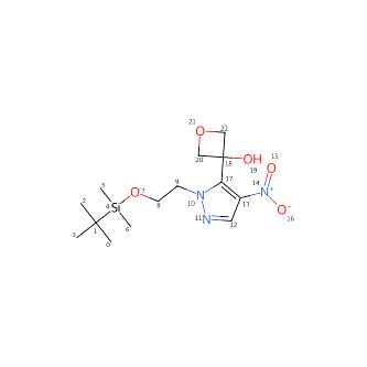 CC(C)(C)[Si](C)(C)OCCn1ncc([N+](=O)[O-])c1C1(O)COC1